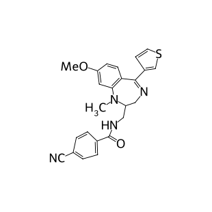 COc1ccc2c(c1)N(C)C(CNC(=O)c1ccc(C#N)cc1)CN=C2c1ccsc1